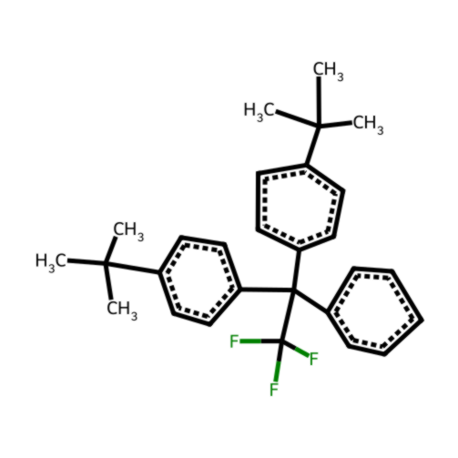 CC(C)(C)c1ccc(C(c2ccccc2)(c2ccc(C(C)(C)C)cc2)C(F)(F)F)cc1